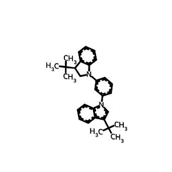 CC(C)(C)c1cn(-c2cccc(N3CC(C(C)(C)C)c4ccccc43)c2)c2ccccc12